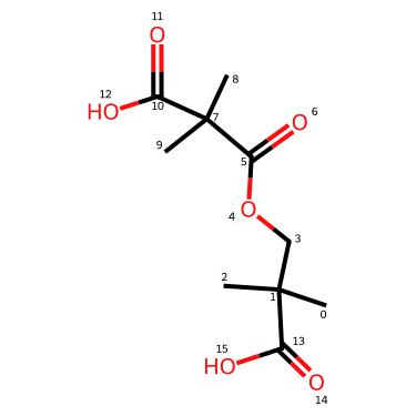 CC(C)(COC(=O)C(C)(C)C(=O)O)C(=O)O